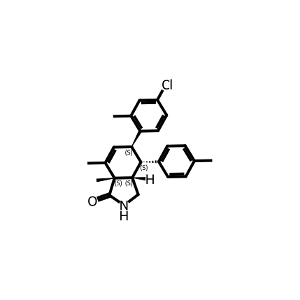 CC1=C[C@@H](c2ccc(Cl)cc2C)[C@H](c2ccc(C)cc2)[C@@H]2CNC(=O)[C@]12C